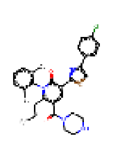 CCc1cccc(CC)c1-n1c(CCC(F)(F)F)c(C(=O)N2CCNCC2)cc(-c2nc(-c3ccc(Cl)cc3)cs2)c1=O